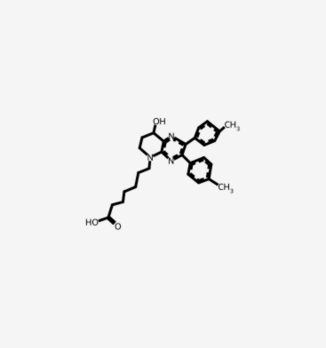 Cc1ccc(-c2nc3c(nc2-c2ccc(C)cc2)N(CCCCCCC(=O)O)CCC3O)cc1